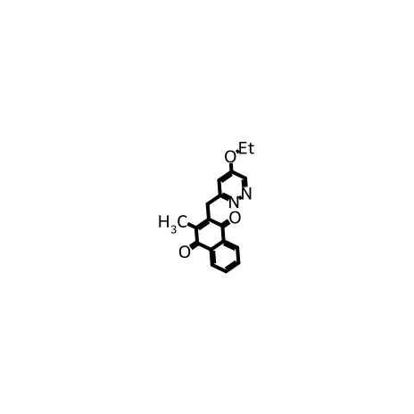 CCOc1cnnc(CC2=C(C)C(=O)c3ccccc3C2=O)c1